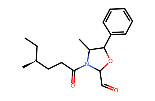 CC[C@H](C)CCC(=O)N1C(C=O)OC(c2ccccc2)C1C